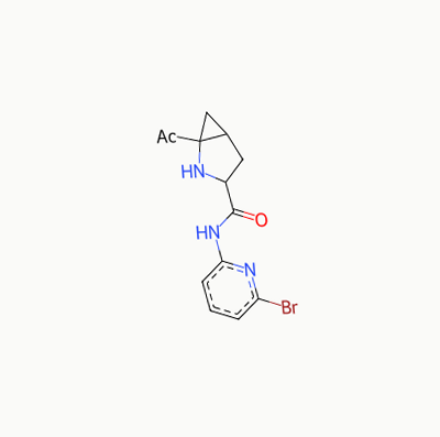 CC(=O)C12CC1CC(C(=O)Nc1cccc(Br)n1)N2